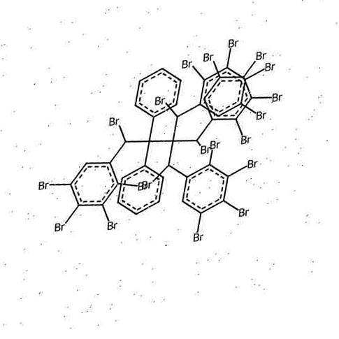 Brc1cc(C(Br)C(c2ccccc2)(c2ccccc2)C(C(Br)c2cc(Br)c(Br)c(Br)c2Br)(C(Br)c2cc(Br)c(Br)c(Br)c2Br)C(Br)c2cc(Br)c(Br)c(Br)c2Br)c(Br)c(Br)c1Br